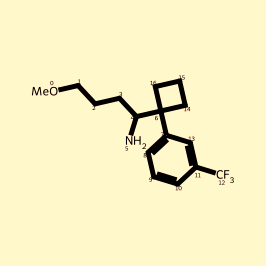 COCCCC(N)C1(c2cccc(C(F)(F)F)c2)CCC1